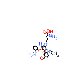 CCn1c2ccccc2c2cc(C=O)ccc21.NCCCCC(N)C(=O)O.NCc1ccccc1O